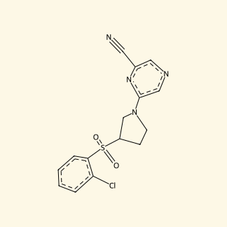 N#Cc1cncc(N2CCC(S(=O)(=O)c3ccccc3Cl)C2)n1